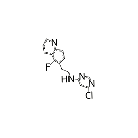 Fc1c(CCNc2cc(Cl)ncn2)ccc2ncccc12